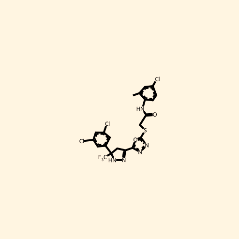 Cc1cc(Cl)ccc1NC(=O)CSc1nnc(C2=NNC(c3cc(Cl)cc(Cl)c3)(C(F)(F)F)C2)o1